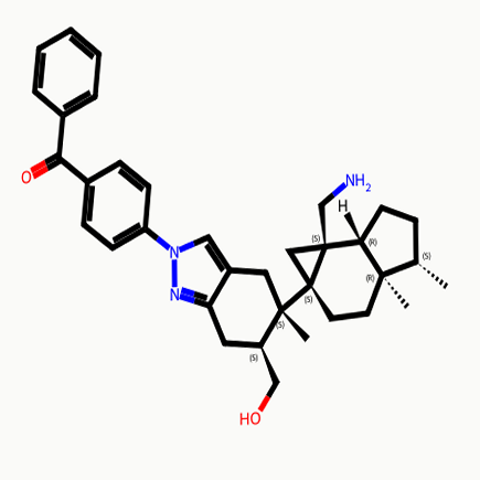 C[C@H]1CC[C@@H]2[C@]1(C)CC[C@@]1([C@@]3(C)Cc4cn(-c5ccc(C(=O)c6ccccc6)cc5)nc4C[C@@H]3CO)C[C@]21CN